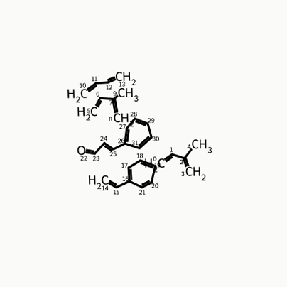 C=CC(=C)C.C=CC(=C)C.C=CC=C.C=Cc1ccccc1.O=CC=Cc1ccccc1